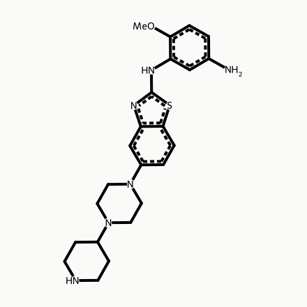 COc1ccc(N)cc1Nc1nc2cc(N3CCN(C4CCNCC4)CC3)ccc2s1